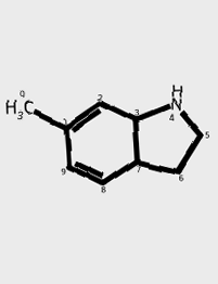 CC1=CC2NCCC2C=C1